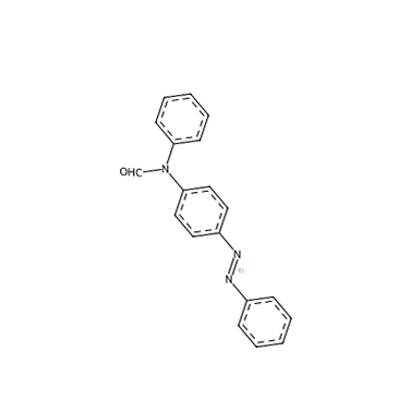 O=CN(c1ccccc1)c1ccc(/N=N/c2ccccc2)cc1